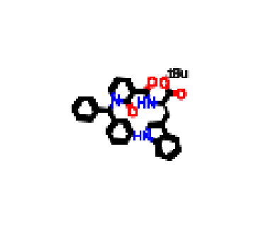 CC(C)(C)OC(=O)[C@H](Cc1c[nH]c2ccccc12)NC(=O)c1cccn(C(c2ccccc2)c2ccccc2)c1=O